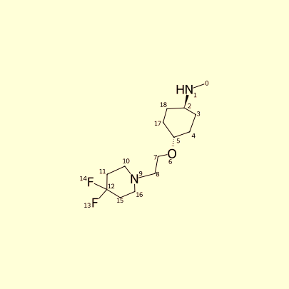 CN[C@H]1CC[C@H](OCCN2CCC(F)(F)CC2)CC1